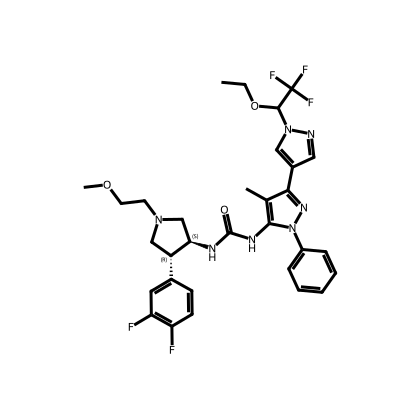 CCOC(n1cc(-c2nn(-c3ccccc3)c(NC(=O)N[C@@H]3CN(CCOC)C[C@H]3c3ccc(F)c(F)c3)c2C)cn1)C(F)(F)F